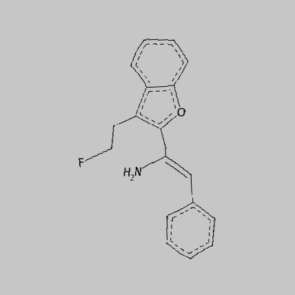 NC(=Cc1ccccc1)c1oc2ccccc2c1CCF